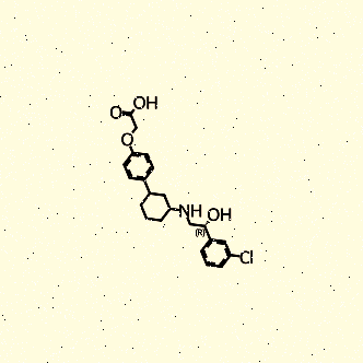 O=C(O)COc1ccc(C2CCCC(NC[C@H](O)c3cccc(Cl)c3)C2)cc1